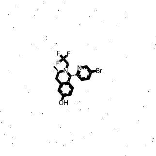 C[C@@H]1Cc2cc(O)ccc2[C@@H](c2ccc(Br)cn2)N1CC(F)(F)F